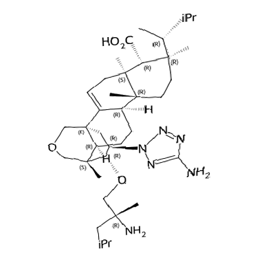 CC(C)C[C@@](C)(N)CO[C@H]1[C@H](n2nnc(N)n2)C[C@@]23COC[C@]1(C)[C@@H]2CC[C@H]1C3=CC[C@@]2(C)[C@H](C(=O)O)[C@@](C)([C@H](C)C(C)C)CC[C@]12C